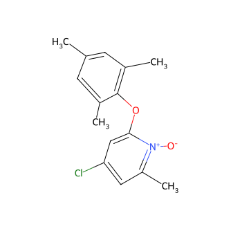 Cc1cc(C)c(Oc2cc(Cl)cc(C)[n+]2[O-])c(C)c1